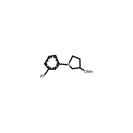 COC1CCN(c2cccc(C(C)C)c2)C1